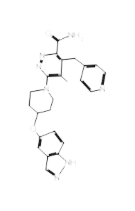 Cc1c(N2CCC(Oc3ccc4[nH]ncc4c3)CC2)nnc(C(N)=O)c1Cc1ccncc1